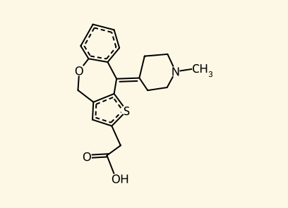 CN1CCC(=C2c3ccccc3OCc3cc(CC(=O)O)sc32)CC1